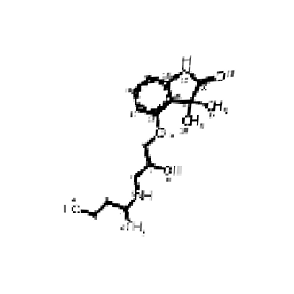 CC(CCO)NCC(O)COc1cccc2c1C(C)(C)C(=O)N2